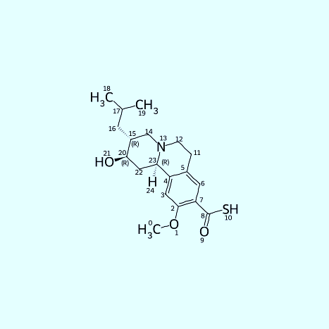 COc1cc2c(cc1C(=O)S)CCN1C[C@@H](CC(C)C)[C@H](O)C[C@H]21